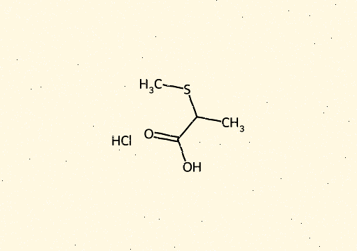 CSC(C)C(=O)O.Cl